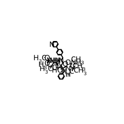 CNC(=O)C(NC(=O)C(O)(CCN(Cc1ccc(-c2cccnc2)cc1)NC(=O)C(NC(=O)OC)C(C)(C)C)Cc1ccccc1)C(C)(C)C